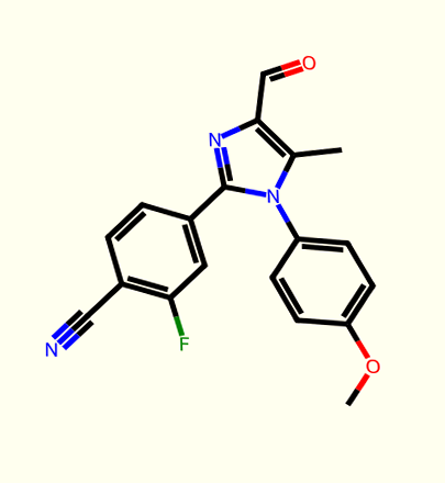 COc1ccc(-n2c(-c3ccc(C#N)c(F)c3)nc(C=O)c2C)cc1